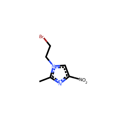 Cc1nc([N+](=O)[O-])cn1CCBr